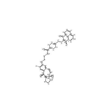 Cc1cc2c(cc1OCCSC(=S)N1CCN(CCN3C(=O)c4cccc5cccc(c45)C3=O)CC1)N=C[C@@H]1CCCN1C2=O